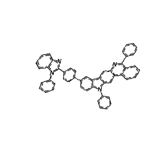 c1ccc(-c2nc3cc4c5cc(-c6ccc(-c7nc8ccccc8n7-c7ccccc7)cc6)ccc5n(-c5ccccc5)c4cc3c3ccccc23)cc1